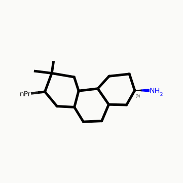 CCCC1CC2CCC3C[C@H](N)CCC3C2CC1(C)C